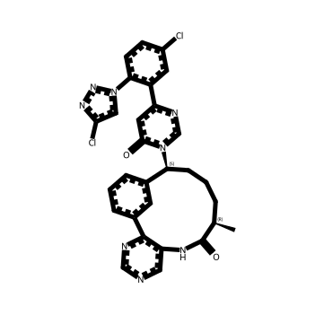 C[C@@H]1CCC[C@H](n2cnc(-c3cc(Cl)ccc3-n3cc(Cl)nn3)cc2=O)c2cccc(c2)-c2ncncc2NC1=O